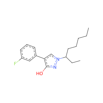 CCCCCC(CC)n1cc(-c2cccc(F)c2)c(O)n1